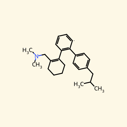 CC(C)Cc1ccc(-c2[c]cccc2C2=C(CN(C)C)CCCC2)cc1